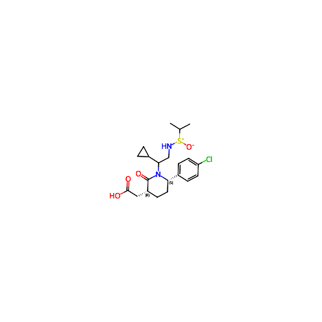 CC(C)[S+]([O-])NCC(C1CC1)N1C(=O)[C@@H](CC(=O)O)CC[C@H]1c1ccc(Cl)cc1